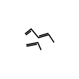 C=CC.C=CC=CC